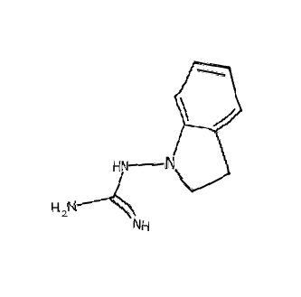 N=C(N)NN1CCc2ccccc21